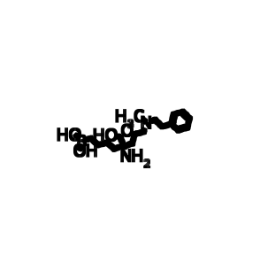 CN(CCCC(N)(CCCCB(O)O)C(=O)O)CCc1ccccc1